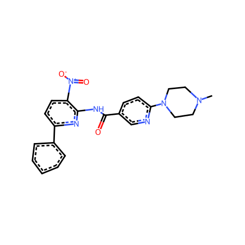 CN1CCN(c2ccc(C(=O)Nc3nc(-c4ccccc4)ccc3[N+](=O)[O-])cn2)CC1